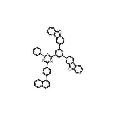 c1ccc(-c2nc(-c3ccc(-c4cccc5ccccc45)cc3)nc(-c3cc(-c4ccc5c(c4)oc4ccccc45)cc(-c4ccc5oc6ccccc6c5c4)c3)n2)cc1